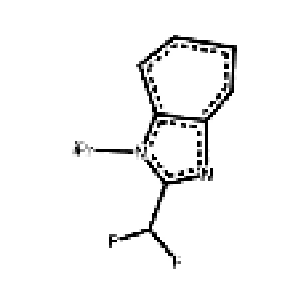 CC(C)n1c(C(F)F)nc2ccccc21